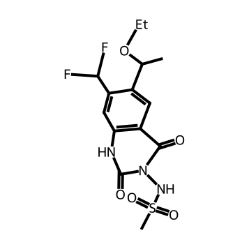 CCOC(C)c1cc2c(=O)n(NS(C)(=O)=O)c(=O)[nH]c2cc1C(F)F